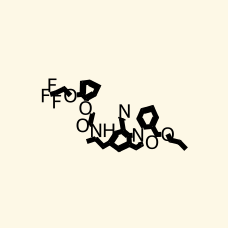 CCCOC(=O)c1ccccc1N1CCc2cc(CC(C)NC(=O)COc3ccccc3OCC(F)(F)F)cc(C#N)c21